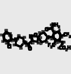 NC(=O)c1cc(C(F)(F)F)c(SC(=O)O)c(C(F)(F)F)c1N1CCC2(CC1)CC(C(=O)N1CCN(c3ncccc3Cl)CC1)=NO2